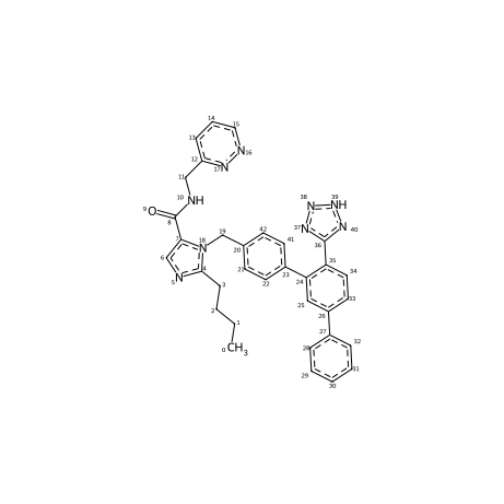 CCCCc1ncc(C(=O)NCc2cccnn2)n1Cc1ccc(-c2cc(-c3ccccc3)ccc2-c2nn[nH]n2)cc1